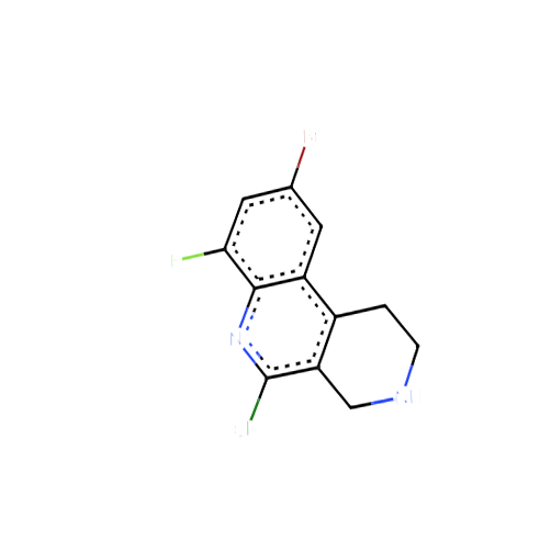 Fc1cc(Br)cc2c3c(c(Cl)nc12)CNCC3